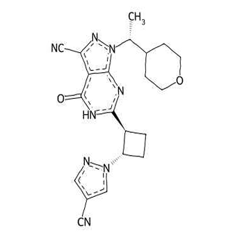 C[C@H](C1CCOCC1)n1nc(C#N)c2c(=O)[nH]c([C@H]3CC[C@@H]3n3cc(C#N)cn3)nc21